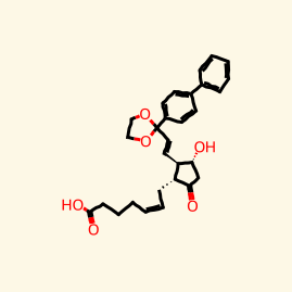 O=C(O)CCC/C=C\C[C@H]1C(=O)C[C@@H](O)[C@@H]1/C=C/C1(c2ccc(-c3ccccc3)cc2)OCCO1